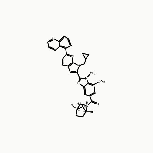 COc1cc(C(=O)N2C[C@H]3CC[C@@H]2[C@@H]3N)cc2nc(-c3cc4ccc(-c5cccc6ncccc56)nc4n3CC3CC3)n(C)c12